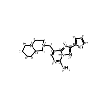 Nc1ncc(CN2CCN3CCCCC3C2)c2nc(-c3ccco3)nn12